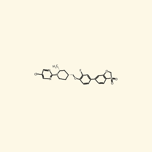 C[C@@H]1C[C@H](COc2ccc(-c3ccc4c(c3)OCS4(=O)=O)cc2F)CCN1c1ncc(Cl)cn1